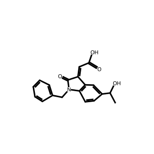 CC(O)c1ccc2c(c1)/C(=C\C(=O)O)C(=O)N2Cc1ccccc1